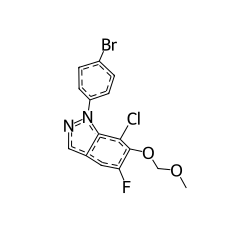 COCOc1c(F)cc2cnn(-c3ccc(Br)cc3)c2c1Cl